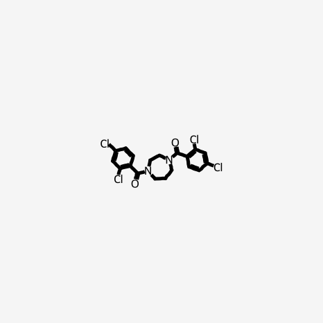 O=C(c1ccc(Cl)cc1Cl)N1CCCN(C(=O)c2ccc(Cl)cc2Cl)CC1